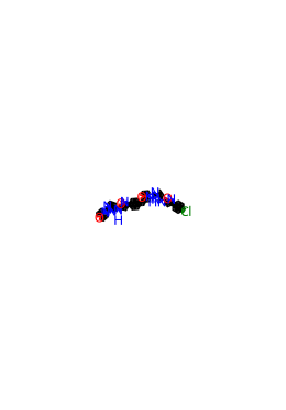 Clc1ccc(-c2cc(Nc3ccnc(N4CCOC(Cc5ccc(-c6cc(Nc7ccnc(N8CCOCC8)n7)on6)cc5)C4)n3)on2)cc1